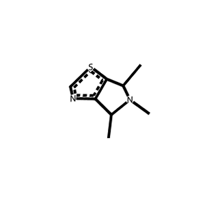 CC1c2ncsc2C(C)N1C